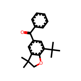 CC(C)(C)c1cc(C(=O)c2ccccc2)cc2c1OCC2(C)C